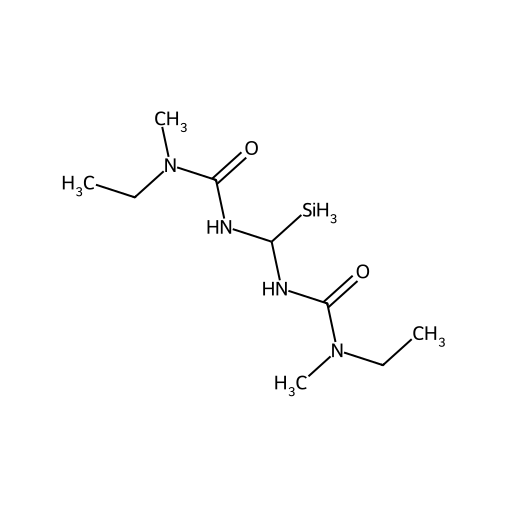 CCN(C)C(=O)NC([SiH3])NC(=O)N(C)CC